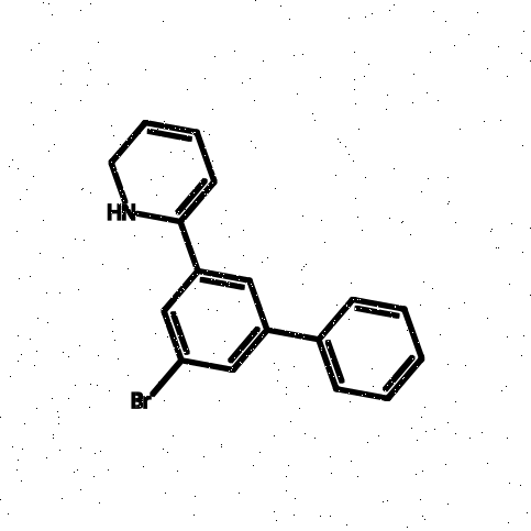 Brc1cc(C2=CC=CCN2)cc(-c2ccccc2)c1